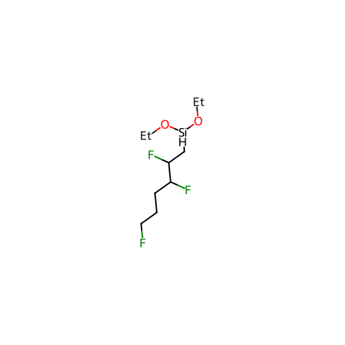 CCO[SiH](CC(F)C(F)CCCF)OCC